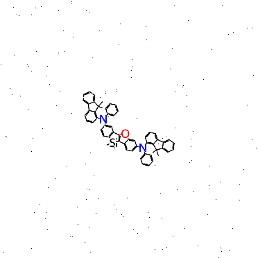 CC1(C)c2ccccc2-c2cccc(N(c3ccccc3)c3ccc4c(c3)-c3oc5cc(N(c6ccccc6)c6cccc7c6C(C)(C)c6ccccc6-7)ccc5c3[Si]4(C)C)c21